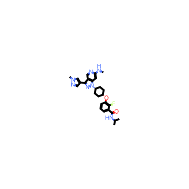 CNc1cc2c(cn1)c(-c1cnn(C)c1)nn2[C@H]1CC[C@@H](Oc2cccc(C(=O)NC(C)C)c2F)CC1